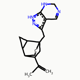 C=C(C)C1CC2(Cc3n[nH]c4c3C=NCN4)CCC1C1CC12